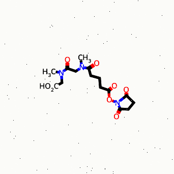 CN(CC(=O)O)C(=O)CN(C)C(=O)CCCC(=O)ON1C(=O)CCC1=O